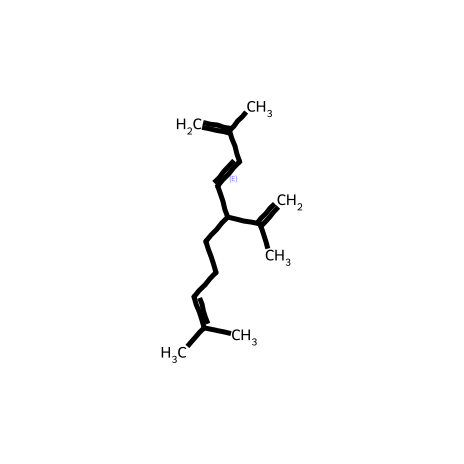 C=C(C)/C=C/C(CCC=C(C)C)C(=C)C